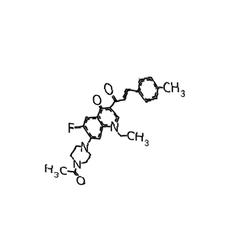 CCn1cc(C(=O)C=Cc2ccc(C)cc2)c(=O)c2cc(F)c(N3CCN(C(C)=O)CC3)cc21